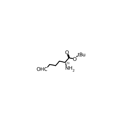 CC(C)(C)OC(=O)[C@@H](N)CCCC=O